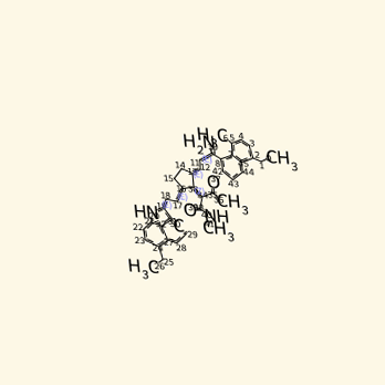 CCc1ccc(C)c2c(\C(N)=C/C=C3\CCC(=C/C=c4/[nH]c5ccc(CC)c6cccc4c56)\C3=C(\C(C)=O)C(=O)NC)cccc12